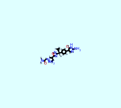 C=C/C(=C\N(N)CC(=O)N(C)C)c1nc([C@@](C)(c2ccc(-c3cnc(N)[nH]c3=O)cc2)C2CC2)no1